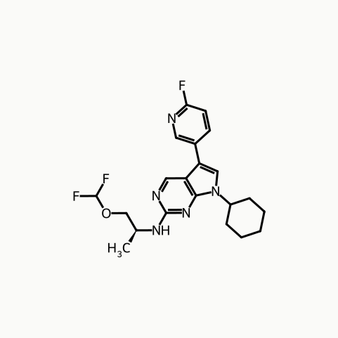 C[C@@H](COC(F)F)Nc1ncc2c(-c3ccc(F)nc3)cn(C3CCCCC3)c2n1